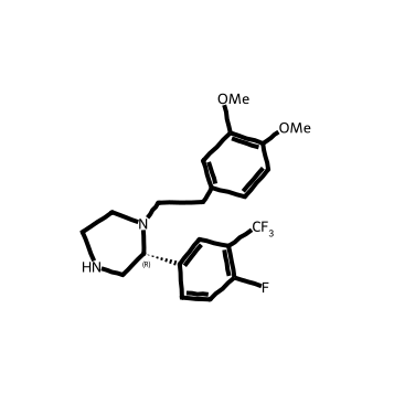 COc1ccc(CCN2CCNC[C@H]2c2ccc(F)c(C(F)(F)F)c2)cc1OC